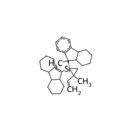 C=CC1(C)C[Si@]1(C1=C2CCCCC2C2CCCCC12)C1(C)c2ccccc2C2CCCCC21